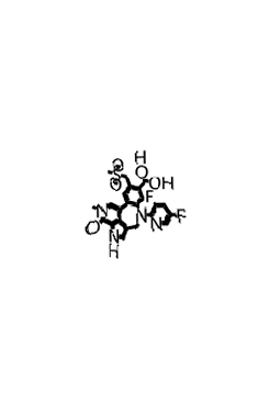 Cn1cc2c3c(c[nH]c3c1=O)CN(c1ncc(F)cc1F)c1cc(C(O)O)c(CS(C)(=O)=O)cc1-2